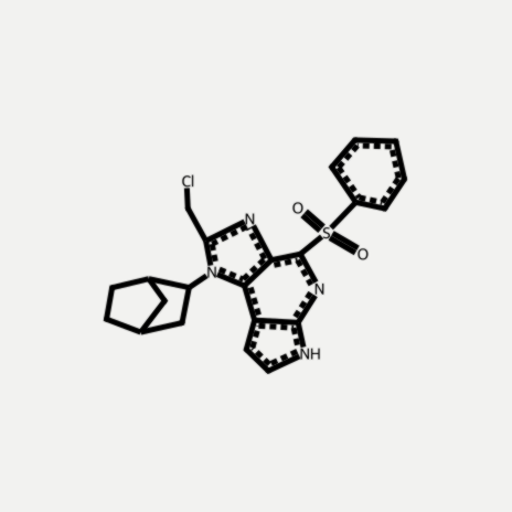 O=S(=O)(c1ccccc1)c1nc2[nH]ccc2c2c1nc(CCl)n2C1CC2CCC1C2